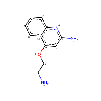 NCCOc1cc(N)nc2ccccc12